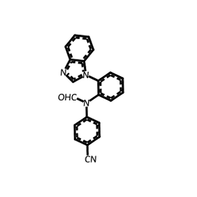 N#Cc1ccc(N(C=O)c2ccccc2-n2cnc3ccccc32)cc1